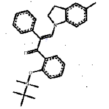 Cc1ccc2c(c1)CCN2/C=C(/C(=O)c1ccccc1O[Si](C)(C)C(C)(C)C)c1ccccc1